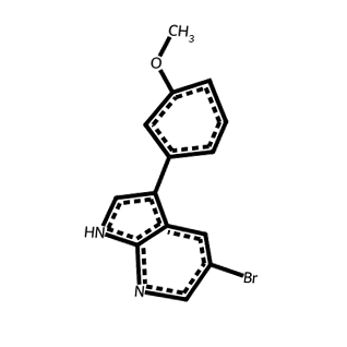 COc1cccc(-c2c[nH]c3ncc(Br)cc23)c1